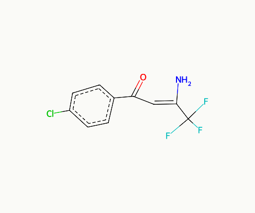 NC(=CC(=O)c1ccc(Cl)cc1)C(F)(F)F